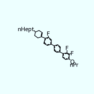 CCCCCCCC1CC=C(c2ccc(-c3ccc(-c4ccc(OCCC)c(F)c4F)cc3)cc2F)CC1